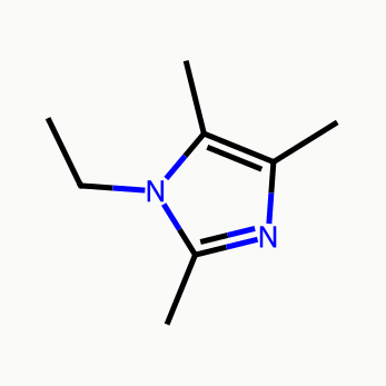 CCn1c(C)nc(C)c1C